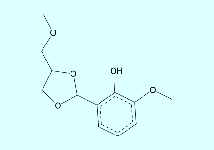 COCC1COC(c2cccc(OC)c2O)O1